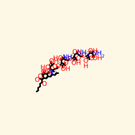 C/C=C/C1=CC2=CC3=C(C(=O)CCCCC)C(=O)OC3(C)C(=O)C2=CN1C1(C)[C@](C)(O)[C@](C)(O)C(C)(CO)O[C@@]1(C)COC[C@]1(C)C(C)(CO)O[C@@](C)(COC[C@]2(C)C(C)(CO)O[C@@](C)(COC[C@]3(C)C(C)(CO)O[C@@](C)(O)C(C)(N)[C@]3(C)O)C(C)(N)[C@]2(C)O)C(C)(N)[C@]1(C)O